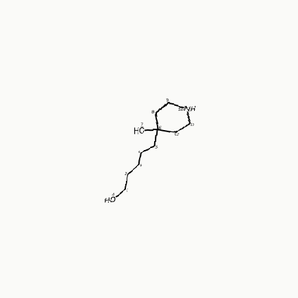 OCCCCCC1(O)CCNCC1